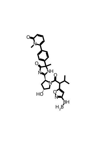 BBc1cc(C(C(=O)N2C[C@H](O)C[C@H]2C2=NC(=O)C(C)(c3ccc(-c4cccc(=O)n4C)cc3)N2)C(C)C)on1